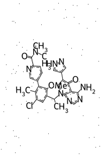 COc1c(C(C)n2cc(-c3cn[nH]c3)c(=O)c3c(N)ncnc32)cc(Cl)c(C)c1-c1ccc(C(=O)N(C)C)nc1